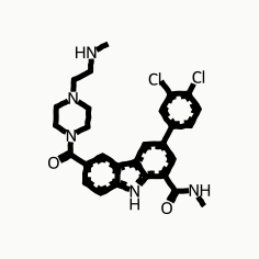 CNCCN1CCN(C(=O)c2ccc3[nH]c4c(C(=O)NC)cc(-c5ccc(Cl)c(Cl)c5)cc4c3c2)CC1